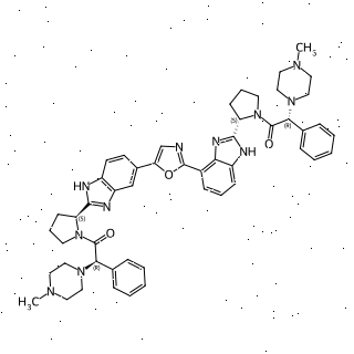 CN1CCN([C@@H](C(=O)N2CCC[C@H]2c2nc3cc(-c4cnc(-c5cccc6[nH]c([C@@H]7CCCN7C(=O)[C@@H](c7ccccc7)N7CCN(C)CC7)nc56)o4)ccc3[nH]2)c2ccccc2)CC1